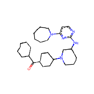 O=C(C1CCCCC1)C1CCC(N2CCC[C@H](Nc3nccc(N4CCCCCC4)n3)C2)CC1